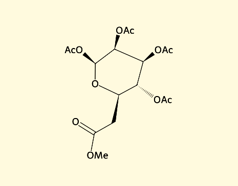 COC(=O)C[C@H]1O[C@@H](OC(C)=O)[C@@H](OC(C)=O)[C@@H](OC(C)=O)[C@@H]1OC(C)=O